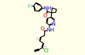 C#C/C(Cl)=C\C=C/CC(=O)Nc1ccc(C2(C(=O)Nc3ccc(F)cc3)CCC2)cn1